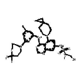 Cc1cc(Nc2ncnc3cc(NS(=O)(=O)[C@H](C)CO)cc(N4CCC5(CC4)CC5)c23)nc(N2CCC(F)(F)CC2)c1